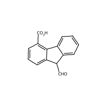 O=CC1c2ccccc2-c2c(C(=O)O)cccc21